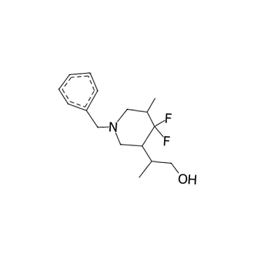 CC(CO)C1CN(Cc2ccccc2)CC(C)C1(F)F